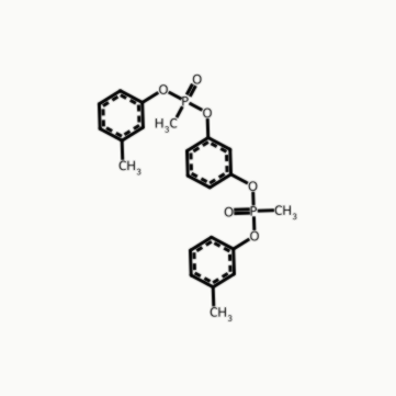 Cc1cccc(OP(C)(=O)Oc2cccc(OP(C)(=O)Oc3cccc(C)c3)c2)c1